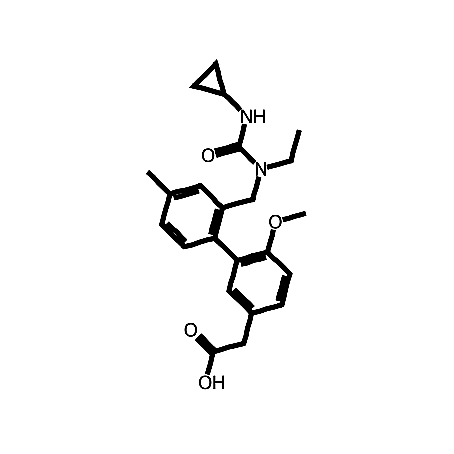 CCN(Cc1cc(C)ccc1-c1cc(CC(=O)O)ccc1OC)C(=O)NC1CC1